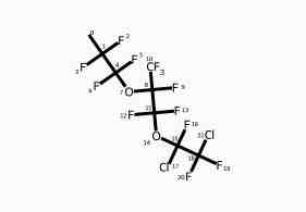 CC(F)(F)C(F)(F)OC(F)(C(F)(F)F)C(F)(F)OC(F)(Cl)C(F)(F)Cl